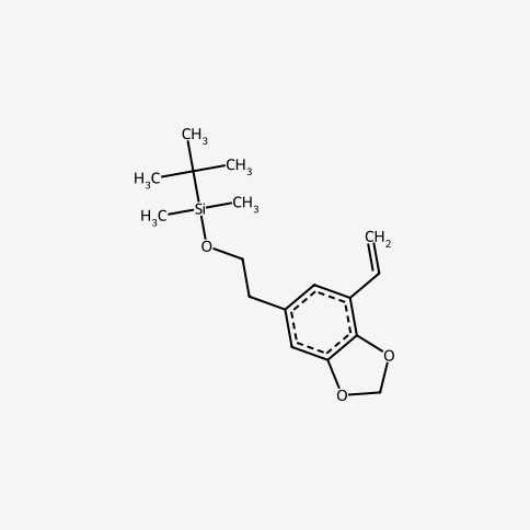 C=Cc1cc(CCO[Si](C)(C)C(C)(C)C)cc2c1OCO2